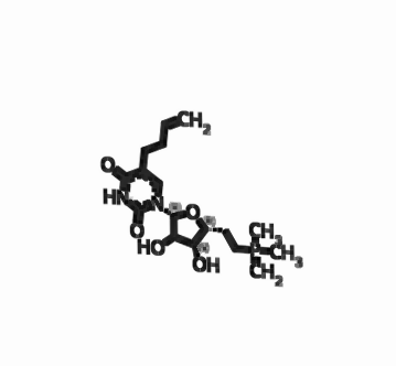 C=CCCc1cn([C@@H]2O[C@H](CCP(=C)(C)C)[C@@H](O)C2O)c(=O)[nH]c1=O